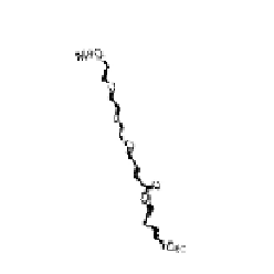 CCCCCCCCCCCCCCOC(=O)CCCOCCOCCOCCOC